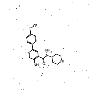 Nc1ccc(-c2ccc(OC(F)(F)F)cc2)cc1C(=O)N(N)C1CCNCC1